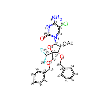 CC(=O)O[C@H]1[C@H](n2cc(Cl)c(N)nc2=O)O[C@@](COCc2ccccc2)(C(F)F)[C@H]1OCc1ccccc1